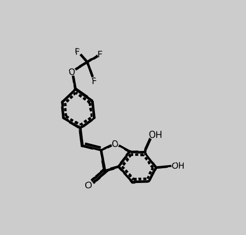 O=C1C(=Cc2ccc(OC(F)(F)F)cc2)Oc2c1ccc(O)c2O